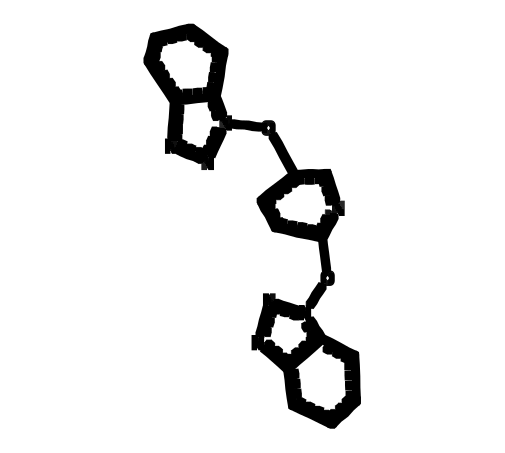 c1ccc2c(c1)nnn2Oc1ccc(On2nnc3ccccc32)nc1